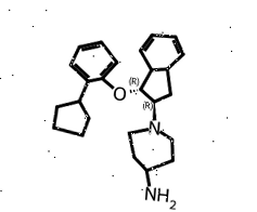 NC1CCN([C@@H]2CC3C=CC=CC3[C@H]2Oc2ccccc2C2CCCC2)CC1